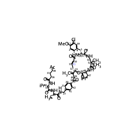 COc1ccc(C[C@H]2NC(=O)/C=C/C[C@@H]([C@H](C)[C@H]3O[C@@H]3c3ccc(CNC(=O)[C@H](C)NC(=O)[C@@H](NC(=O)CCCC(C)=O)C(C)C)cc3)OC(=O)[C@H](CC(C)C)NC(=O)C(C)(C)CNC2=O)cc1Cl